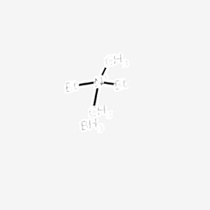 B.CC[N+](C)(C)CC